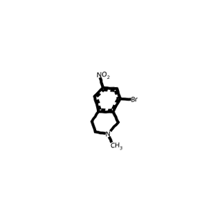 CN1CCc2cc([N+](=O)[O-])cc(Br)c2C1